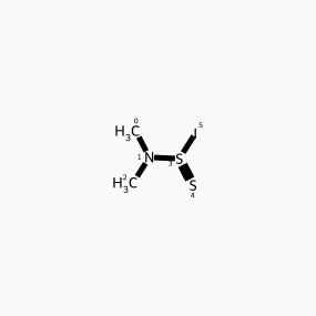 CN(C)S(=S)I